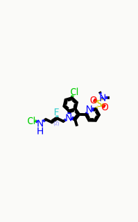 Cc1c(-c2cccc(S(=O)(=O)N(C)C)n2)c2cc(Cl)ccc2n1C/C(F)=C/CNCl